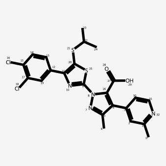 Cc1cc(-c2c(C)nn(-c3nc(-c4ccc(Cl)c(Cl)c4)c(SC(C)C)s3)c2C(=O)O)ccn1